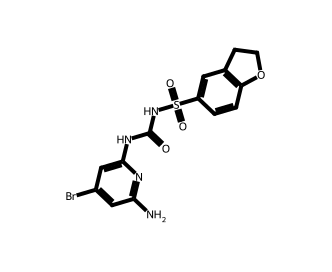 Nc1cc(Br)cc(NC(=O)NS(=O)(=O)c2ccc3c(c2)CCO3)n1